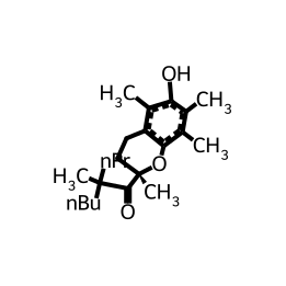 CCCCC(C)(CCC)C(=O)[C@]1(C)CCc2c(C)c(O)c(C)c(C)c2O1